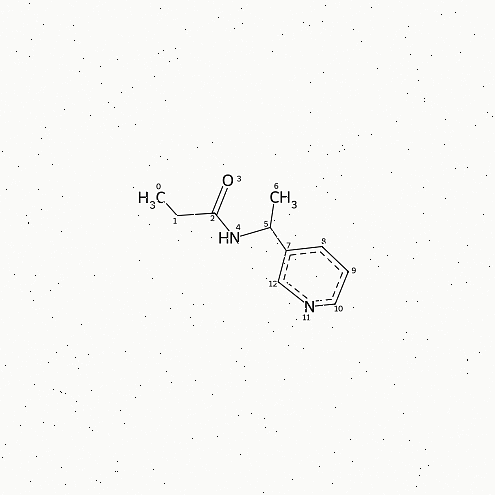 CCC(=O)NC(C)c1cccnc1